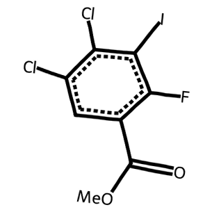 COC(=O)c1cc(Cl)c(Cl)c(I)c1F